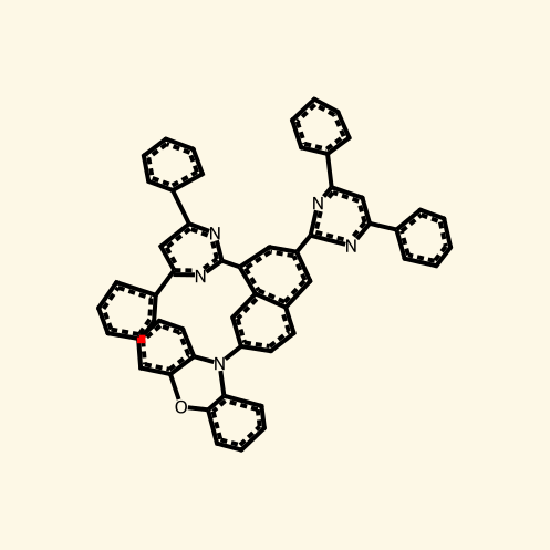 c1ccc(-c2cc(-c3ccccc3)nc(-c3cc(-c4nc(-c5ccccc5)cc(-c5ccccc5)n4)c4cc(N5c6ccccc6Oc6ccccc65)ccc4c3)n2)cc1